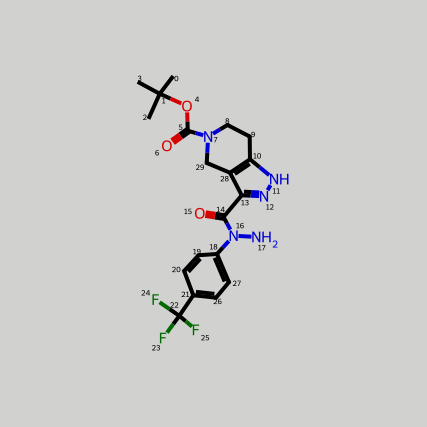 CC(C)(C)OC(=O)N1CCc2[nH]nc(C(=O)N(N)c3ccc(C(F)(F)F)cc3)c2C1